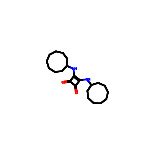 O=c1c(NC2CCCCCCCC2)c(NC2CCCCCCCC2)c1=O